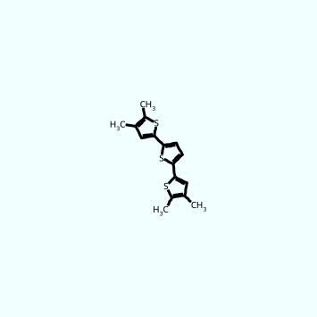 Cc1cc(-c2ccc(-c3cc(C)c(C)s3)s2)sc1C